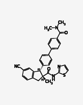 CN(C)C(=O)c1ccc(-c2ccc([C@H]3c4cc(C#N)ccc4C[C@@]3(C)C(=O)Nc3nccs3)cc2)cc1